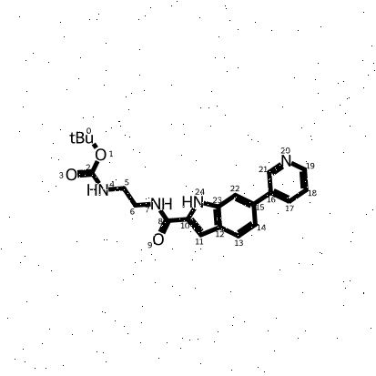 CC(C)(C)OC(=O)NCCNC(=O)c1cc2ccc(-c3cccnc3)cc2[nH]1